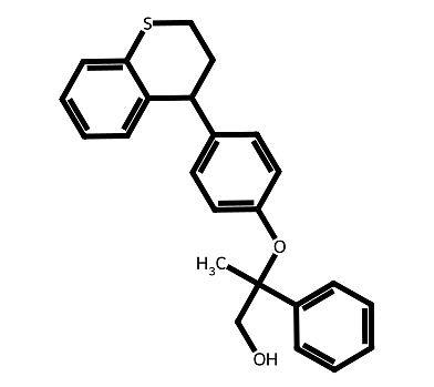 CC(CO)(Oc1ccc(C2CCSc3ccccc32)cc1)c1ccccc1